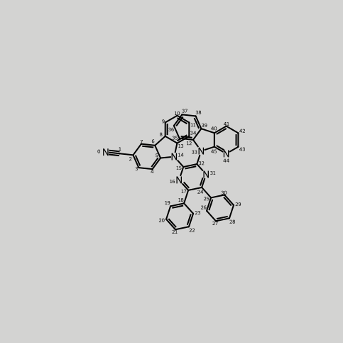 N#Cc1ccc2c(c1)c1ccccc1n2-c1nc(-c2ccccc2)c(-c2ccccc2)nc1-n1c2ccccc2c2cccnc21